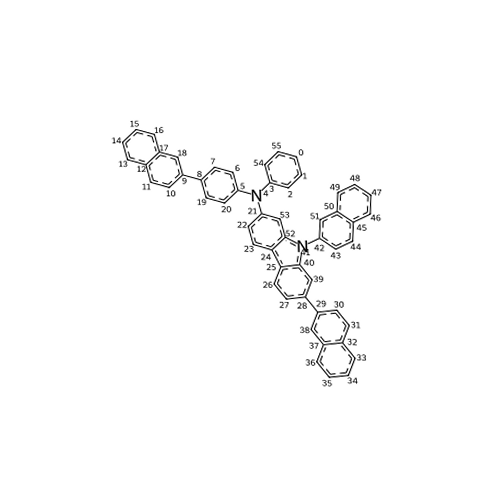 c1ccc(N(c2ccc(-c3ccc4ccccc4c3)cc2)c2ccc3c4ccc(-c5ccc6ccccc6c5)cc4n(-c4ccc5ccccc5c4)c3c2)cc1